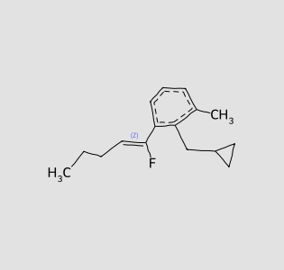 CCC/C=C(\F)c1cccc(C)c1CC1CC1